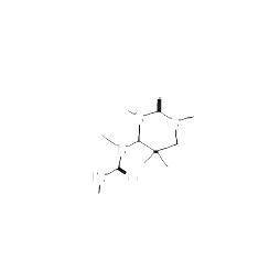 CNC(=O)N(C)C1N(C)C(=O)N(C)CC1(C)C